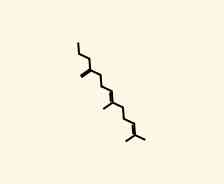 C=C(CCC)CC/C=C(\C)CCC=C(C)C